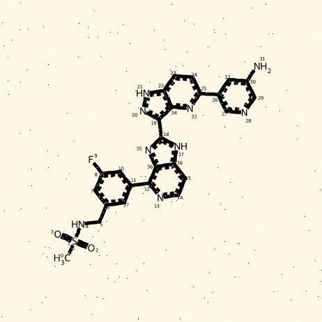 CS(=O)(=O)NCc1cc(F)cc(-c2nccc3[nH]c(-c4n[nH]c5ccc(-c6cncc(N)c6)nc45)nc23)c1